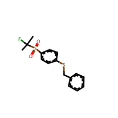 CC(C)(F)S(=O)(=O)c1ccc(SCc2ccccc2)cc1